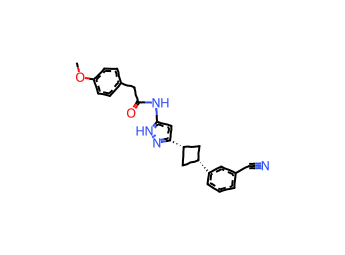 COc1ccc(CC(=O)Nc2cc([C@H]3C[C@@H](c4cccc(C#N)c4)C3)n[nH]2)cc1